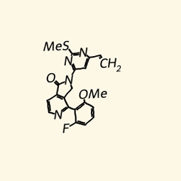 C=Cc1cc(N2Cc3c(ccnc3-c3c(F)cccc3OC)C2=O)nc(SC)n1